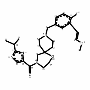 COC=Cc1cc(CN2CCC3(CC2)CN(C(=O)c2csc(C(C)C)n2)CCO3)ccc1F